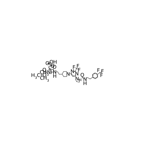 CC(C)(C)OC(=O)N[C@@H](CS(=O)(=O)O)C(=O)NCCC1CCN(c2cc(N3CC[C@H]3C(=O)NCCc3ccc(C(F)(F)F)cc3)nc(C(F)(F)F)n2)CC1